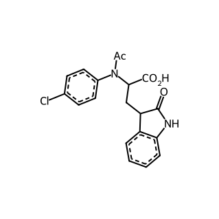 CC(=O)N(c1ccc(Cl)cc1)C(CC1C(=O)Nc2ccccc21)C(=O)O